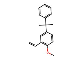 C=Cc1cc(C(C)(C)c2ccccc2)ccc1OC